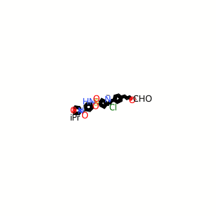 CC(C)[C@H]1COCCN1C(=O)[C@H]1CC[C@H](NS(=O)(=O)c2ccc3c(Cl)c(-c4ccc(CCCOC=O)cc4)n(C)c3c2)CC1